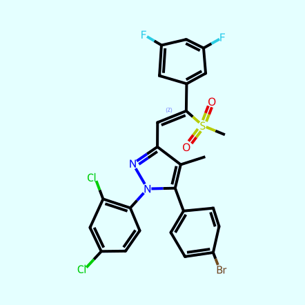 Cc1c(/C=C(/c2cc(F)cc(F)c2)S(C)(=O)=O)nn(-c2ccc(Cl)cc2Cl)c1-c1ccc(Br)cc1